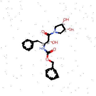 O=C(N[C@@H](Cc1ccccc1)[C@@H](O)C(=O)N1C[C@@H](O)[C@@H](O)C1)OCc1ccccc1